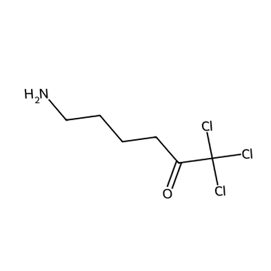 NCCCCC(=O)C(Cl)(Cl)Cl